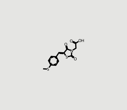 CSc1ccc(/C=C2\SC(=O)N(CC(=O)O)C2=O)cc1